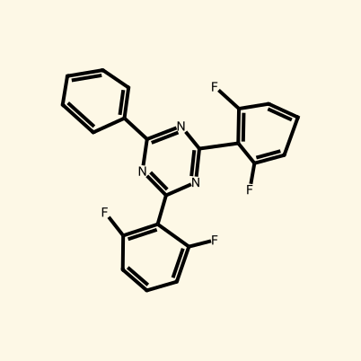 Fc1cccc(F)c1-c1nc(-c2ccccc2)nc(-c2c(F)cccc2F)n1